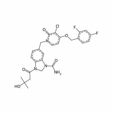 CC(C)(O)CC(=O)N1CN(C(N)=O)c2cc(Cn3ccc(OCc4ccc(F)cc4F)c(Cl)c3=O)ccc21